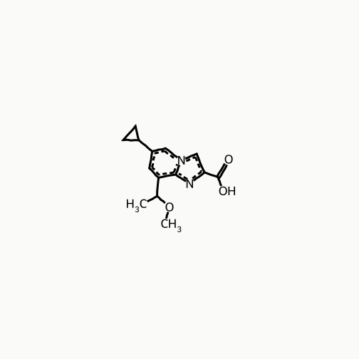 COC(C)c1cc(C2CC2)cn2cc(C(=O)O)nc12